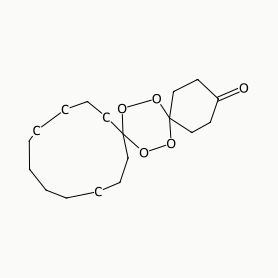 O=C1CCC2(CC1)OOC1(CCCCCCCCCCC1)OO2